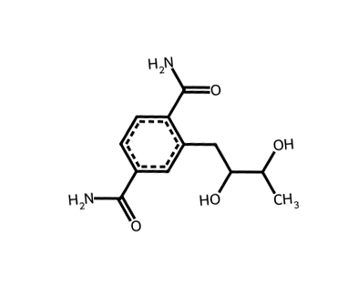 CC(O)C(O)Cc1cc(C(N)=O)ccc1C(N)=O